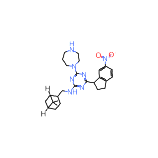 CC1(C)[C@@H]2CCC(CNc3nc(C4CCc5ccc([N+](=O)[O-])cc54)nc(N4CCCNCC4)n3)[C@H]1C2